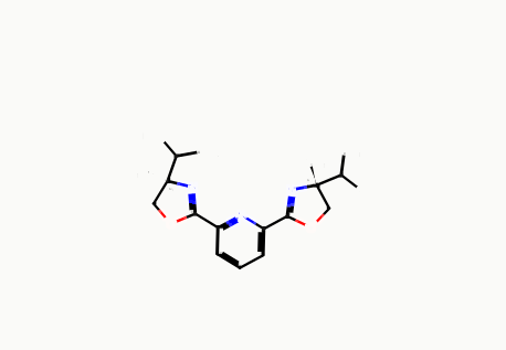 CC(C)[C@]1(C)COC(c2cccc(C3=N[C@](C)(C(C)C)CO3)n2)=N1.[Cl-].[Cl-].[Fe+2]